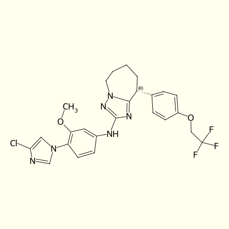 COc1cc(Nc2nc3n(n2)CCCC[C@@H]3c2ccc(OCC(F)(F)F)cc2)ccc1-n1cnc(Cl)c1